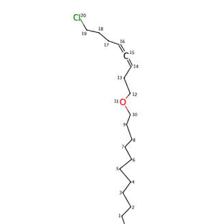 CCCCCCCCCCCOCCC=C=CCCCCl